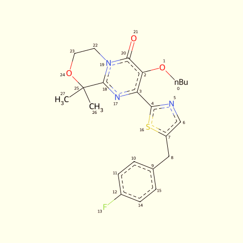 CCCCOc1c(-c2ncc(Cc3ccc(F)cc3)s2)nc2n(c1=O)CCOC2(C)C